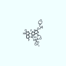 C#Cc1c(F)ccc2[nH]c(=O)cc(-c3ncc4c(N5CCOC[C@H](NC(=O)C=C)C5)nc(OCC5(CN6CCOCC6)CC5)nc4c3F)c12